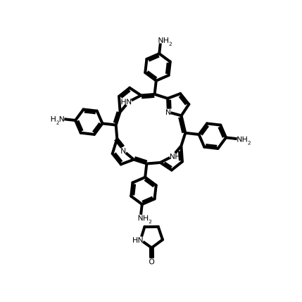 Nc1ccc(-c2c3nc(c(-c4ccc(N)cc4)c4ccc([nH]4)c(-c4ccc(N)cc4)c4nc(c(-c5ccc(N)cc5)c5ccc2[nH]5)C=C4)C=C3)cc1.O=C1CCCN1